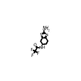 Nc1nc2c(s1)C[C@H](NC(=O)C(F)(F)F)CC2